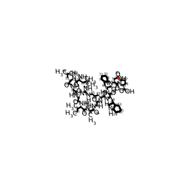 CC[C@H](C)[C@H](NC(=O)CNC(=O)CNC(=O)[C@H](CC(C)C)NC(=O)[C@@H](N)CC(C)C)C(=O)N[C@@H](C)C(=O)NCC(=O)N[C@@H](CCCNC(=N)N)C(=O)N[C@@H](Cc1c[nH]c2ccccc12)C(=O)N[C@@H](Cc1ccccc1)C(=O)N[C@@H](CC(=O)O)C(=O)N1CCC[C@H]1C(=O)O